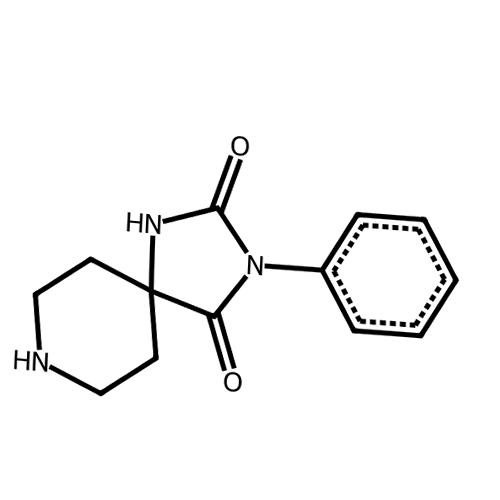 O=C1NC2(CCNCC2)C(=O)N1c1ccccc1